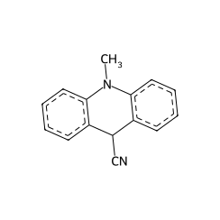 CN1c2ccccc2C(C#N)c2ccccc21